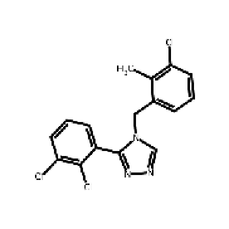 Cc1c(Cl)cccc1Cn1cnnc1-c1cccc(Cl)c1Cl